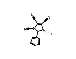 CN1C(C#N)=C(C#N)N(C#N)C1c1ccccc1